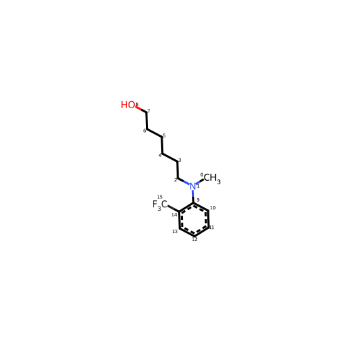 CN(CCCCCCO)c1ccccc1C(F)(F)F